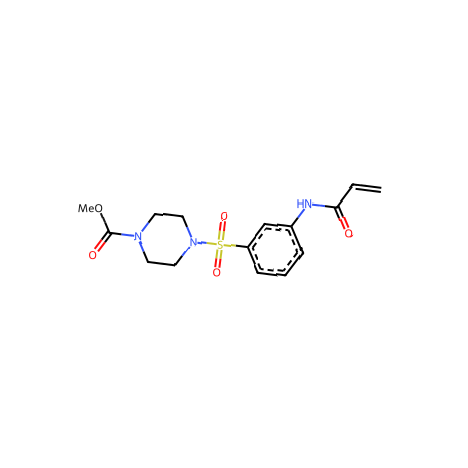 C=CC(=O)Nc1cccc(S(=O)(=O)N2CCN(C(=O)OC)CC2)c1